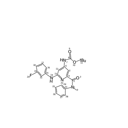 CN(C(=O)c1cc(NC(=O)OC(C)(C)C)cc(Nc2cccc(F)c2)n1)c1ccccc1